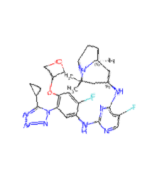 CC1(C)C[C@H](Nc2nc(Nc3cc(-n4nnnc4C4CC4)c(OC4COC4)cc3F)ncc2F)C[C@@H]2CCCN21